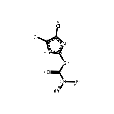 CC(C)N(C(=O)Sc1nc(Cl)c(Cl)s1)C(C)C